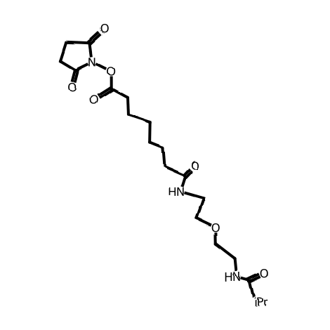 CC(C)C(=O)NCCOCCNC(=O)CCCCCCC(=O)ON1C(=O)CCC1=O